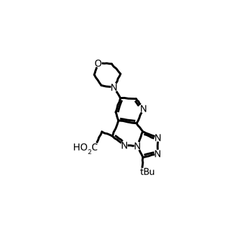 CC(C)(C)c1nnc2c3ncc(N4CCOCC4)cc3c(CC(=O)O)nn12